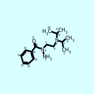 CC(C)N(CCN(N)C(=O)c1ccccc1)C(C)C